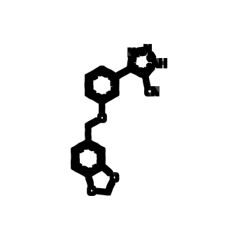 N#Cc1[nH]nnc1-c1cccc(OCc2ccc3c(c2)OCO3)c1